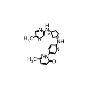 Cc1cnc(N[C@H]2CC[C@H](Nc3ccc(-n4nc(C)ccc4=O)cn3)C2)cn1